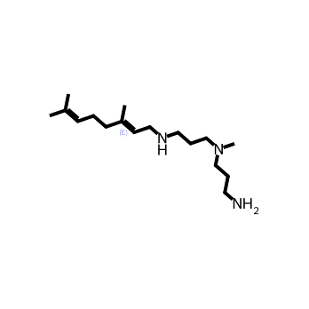 CC(C)=CCC/C(C)=C/CNCCCN(C)CCCN